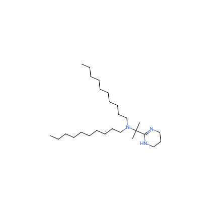 CCCCCCCCCCN(CCCCCCCCCC)C(C)(C)C1=NCCCN1